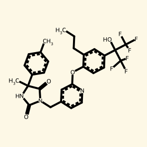 CCCc1cc(C(O)(C(F)(F)F)C(F)(F)F)ccc1Oc1cc(CN2C(=O)NC(C)(c3ccc(C)cc3)C2=O)ccn1